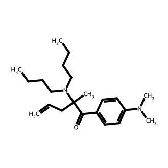 C=CCC(C)(C(=O)c1ccc(N(C)C)cc1)N(CCCC)CCCC